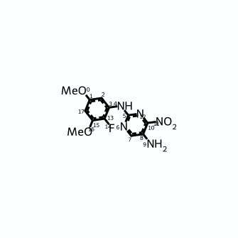 COc1cc(Nc2ncc(N)c([N+](=O)[O-])n2)c(F)c(OC)c1